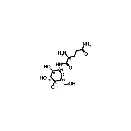 NC(=O)CC[C@H](N)C(=O)N[C@@H]1O[C@H](CO)[C@@H](O)[C@H](O)[C@H]1O